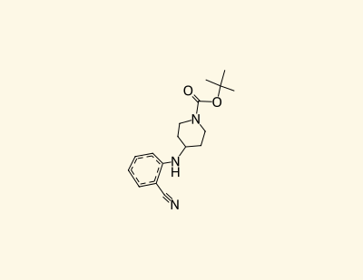 CC(C)(C)OC(=O)N1CCC(Nc2ccccc2C#N)CC1